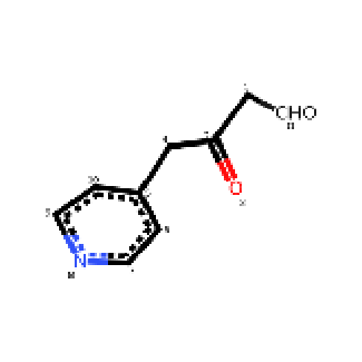 O=CCC(=O)Cc1ccncc1